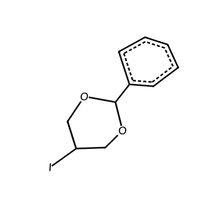 IC1COC(c2ccccc2)OC1